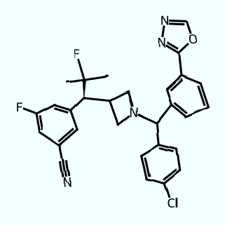 CC(C)(F)[C@H](c1cc(F)cc(C#N)c1)C1CN(C(c2ccc(Cl)cc2)c2cccc(-c3nnco3)c2)C1